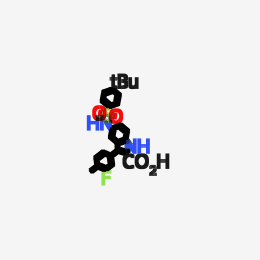 Cc1ccc(-c2c(C(=O)O)[nH]c3ccc(NS(=O)(=O)c4ccc(C(C)(C)C)cc4)cc23)cc1F